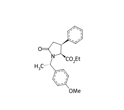 CCOC(=O)[C@@H]1[C@H](c2ccccc2)CC(=O)N1[C@@H](C)c1ccc(OC)cc1